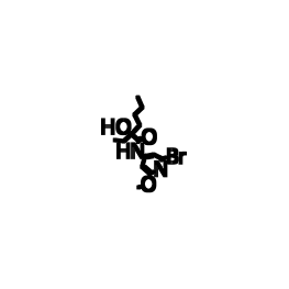 CCCCC(O)(CC)C(=O)Nc1cc(Br)nc(OC)c1